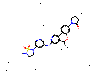 CC1Oc2cc(N3CCCC3=O)ccc2-c2cnc(Nc3cncc(N4CCN(C)S4(=O)=O)c3)cc21